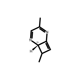 CC1=NC2=CC(C)[C@@H]2N=C1